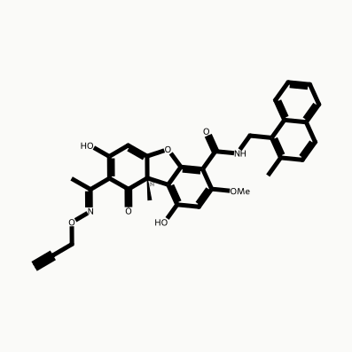 C#CCON=C(C)C1=C(O)C=C2Oc3c(C(=O)NCc4c(C)ccc5ccccc45)c(OC)cc(O)c3[C@]2(C)C1=O